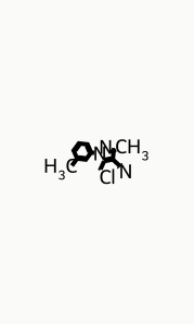 Cc1cccc(-n2nc(C)c(C#N)c2CCl)c1